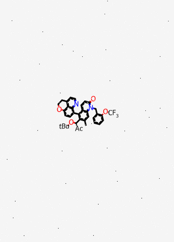 CC(=O)[C@@H](OC(C)(C)C)c1c(C)cc2c(ccc(=O)n2Cc2ccccc2OC(F)(F)F)c1-c1ccc2c3c(ccnc13)CCO2